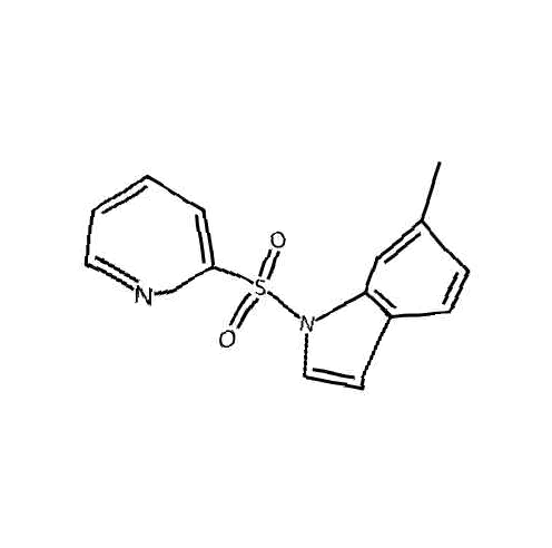 Cc1ccc2ccn(S(=O)(=O)c3ccccn3)c2c1